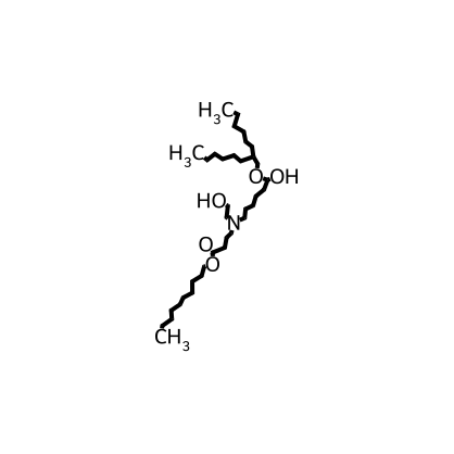 CCCCCCCCCCOC(=O)CCCN(CCO)CCCCCC(O)OCC(CCCCCC)CCCCCC